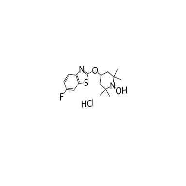 CC1(C)CC(Oc2nc3ccc(F)cc3s2)CC(C)(C)N1O.Cl